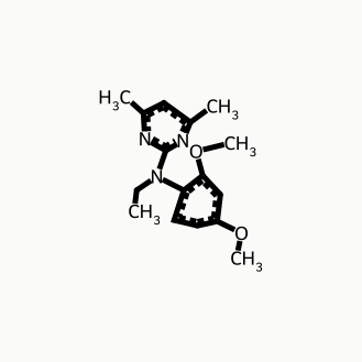 CCN(c1nc(C)cc(C)n1)c1ccc(OC)cc1OC